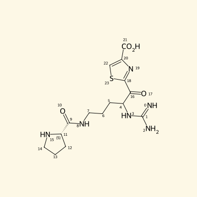 N=C(N)NC(CCCNC(=O)[C@@H]1CCCN1)C(=O)c1nc(C(=O)O)cs1